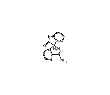 NC(=O)c1ccccc1C(N)(C(N)=O)c1ccccc1